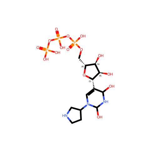 O=P(O)(O)OP(=O)(O)OP(=O)(O)OC[C@H]1O[C@@H](C2=CN(C3CCNC3)C(O)NC2O)[C@H](O)[C@@H]1O